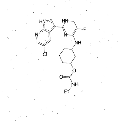 CCNC(=O)OC1CCCC(NC2=C(F)CNC(c3c[nH]c4ncc(Cl)cc34)=N2)C1